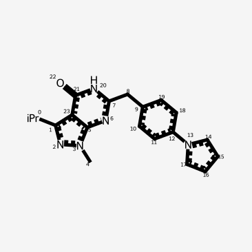 CC(C)c1nn(C)c2nc(Cc3ccc(-n4cccc4)cc3)[nH]c(=O)c12